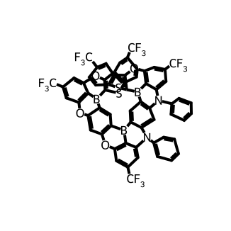 FC(F)(F)c1cc2c3c(c1)Oc1c(sc4ccc(C(F)(F)F)cc14)B3c1cc3c(cc1O2)Oc1cc(C(F)(F)F)cc2c1B3c1cc3c(cc1N2c1ccccc1)N(c1ccccc1)c1cc(C(F)(F)F)cc2c1B3c1sc3ccc(C(F)(F)F)cc3c1O2